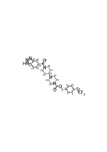 O=C(OCc1ccc(SC(F)(F)F)cc1)N1CCN(C2CCN(C(=O)c3ccc4[nH]nnc4c3)CC2)CC1